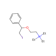 CC[N+](CC)(CC)CCOC(CI)c1ccccc1